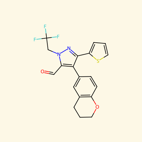 O=Cc1c(-c2ccc3c(c2)CCCO3)c(-c2cccs2)nn1CC(F)(F)F